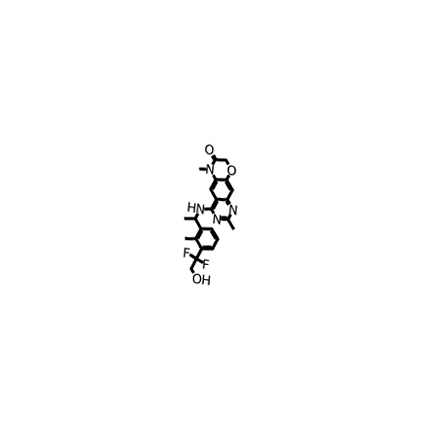 Cc1nc(NC(C)c2cccc(C(F)(F)CO)c2C)c2cc3c(cc2n1)OCC(=O)N3C